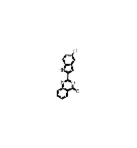 O=c1oc(-c2cc3cc(Cl)ccc3[nH]2)nc2ccccc12